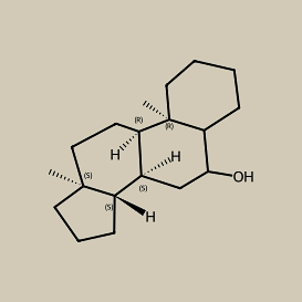 C[C@@]12CCC[C@H]1[C@@H]1CC(O)C3CCCC[C@]3(C)[C@@H]1CC2